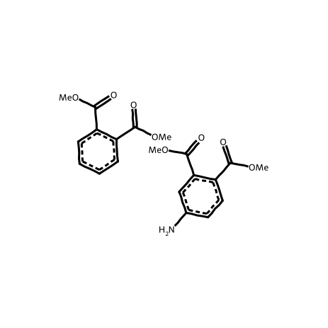 COC(=O)c1ccc(N)cc1C(=O)OC.COC(=O)c1ccccc1C(=O)OC